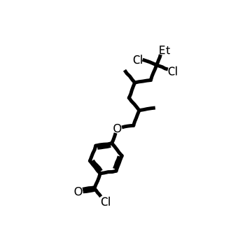 CCC(Cl)(Cl)CC(C)CC(C)COc1ccc(C(=O)Cl)cc1